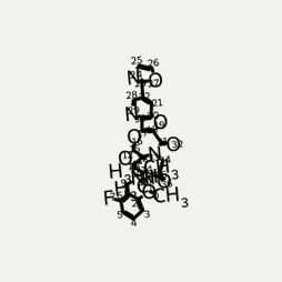 COc1cccc(F)c1CNC(=O)C1(C)COc2c(oc3cc(-c4ncco4)cnc23)C(=O)N1CC(=O)N(C)C